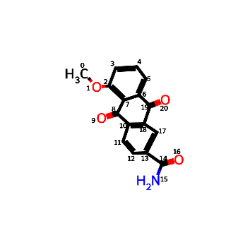 COc1cccc2c1C(=O)c1ccc(C(N)=O)cc1C2=O